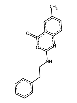 Cc1ccc2nc(NCCc3ccccc3)oc(=O)c2c1